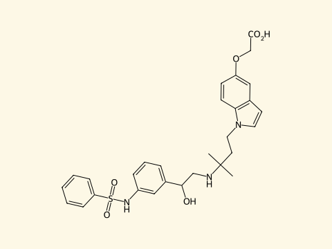 CC(C)(CCn1ccc2cc(OCC(=O)O)ccc21)NCC(O)c1cccc(NS(=O)(=O)c2ccccc2)c1